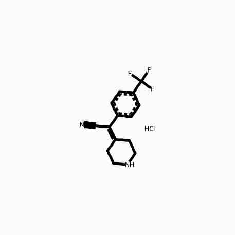 Cl.N#CC(=C1CCNCC1)c1ccc(C(F)(F)F)cc1